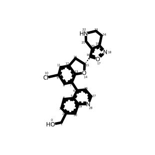 OCc1ccc2c(-c3cc(Cl)cc4c3O[C@@H](c3onc5c3CNCC5)C4)ccnc2c1